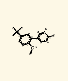 COc1ccc(C(C)(C)C)cc1-c1ccc(C)nc1